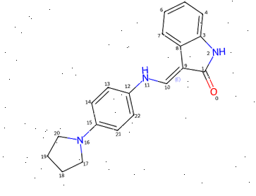 O=C1Nc2ccccc2/C1=C\Nc1ccc(N2CCCC2)cc1